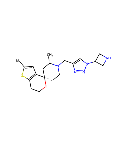 CCc1cc2c(s1)CCO[C@@]21CCN(Cc2cn(C3CNC3)nn2)[C@@H](C)C1